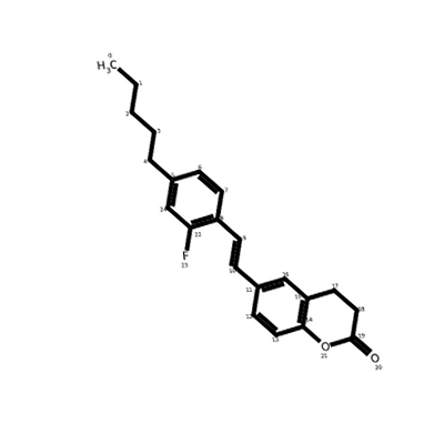 CCCCCc1ccc(C=Cc2ccc3c(c2)CCC(=O)O3)c(F)c1